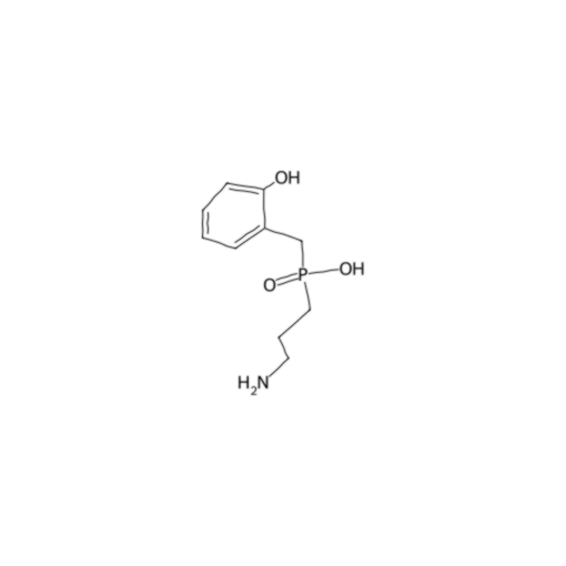 NCCCP(=O)(O)Cc1ccccc1O